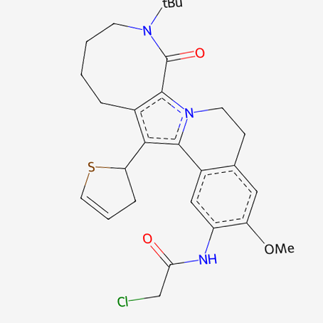 COc1cc2c(cc1NC(=O)CCl)-c1c(C3CC=CS3)c3c(n1CC2)C(=O)N(C(C)(C)C)CCCC3